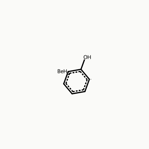 Oc1[c]cccc1.[BeH2]